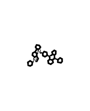 c1ccc(-c2c3ccccc3c(-c3ccc(-n4c5ccccc5c5ccc6c(ccn6-c6ccccc6)c54)cc3)c3ccccc23)cc1